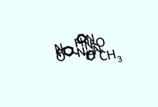 CCN(C(=O)c1nc2ccccc2[nH]1)[C@@H]1C=C(NCc2ccc3ncoc3c2)CCC1